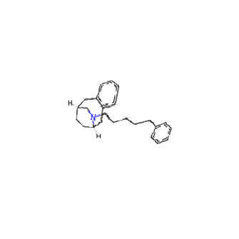 c1ccc(CCCCCN2C[C@H]3CC[C@@H]2Cc2ccccc2C3)cc1